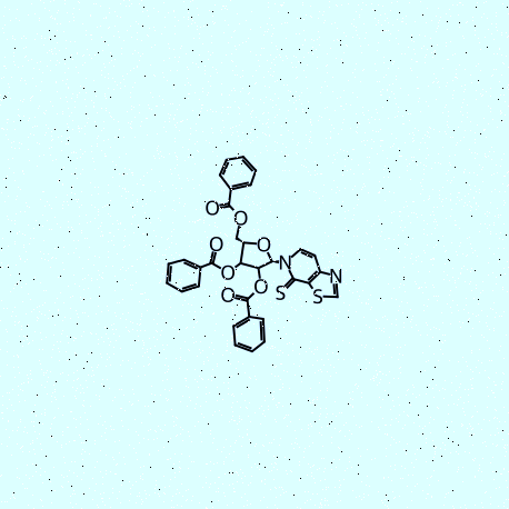 O=C(OC[C@H]1O[C@@H](n2ccc3ncsc3c2=S)C(OC(=O)c2ccccc2)C1OC(=O)c1ccccc1)c1ccccc1